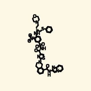 O=C(NS(=O)(=O)c1ccc(N[C@H](CCN2CCOCC2)CSc2ccccc2)c([N+](=O)[O-])c1)c1csc(N2CCc3cccc(C(=O)Nc4cn5ccccc5n4)c3C2)n1